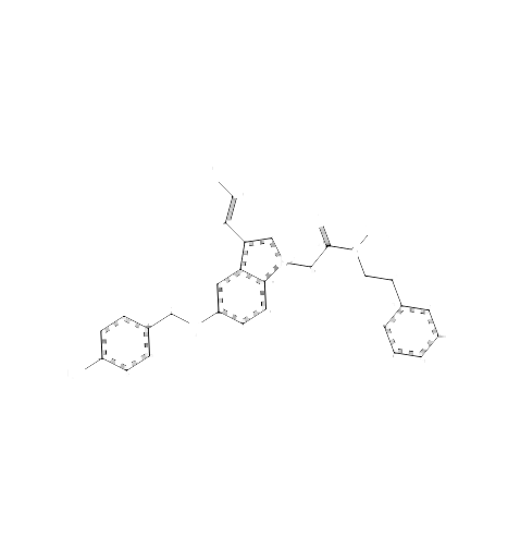 Cc1ccc(COc2ccc3c(c2)c(/C=C/C(=O)O)cn3CC(=O)N(C)CCc2ccccc2)cc1